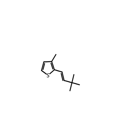 Cc1ccsc1/C=C/C(C)(C)C